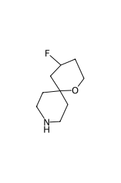 FC1CCOC2(CCNCC2)C1